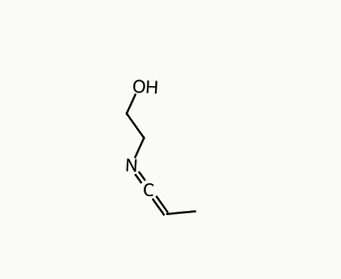 CC=C=NCCO